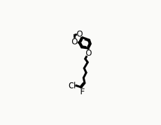 FC(Cl)=CCCCCCOc1ccc2c(c1)OCO2